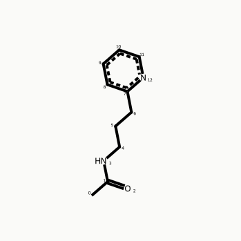 CC(=O)NCCCc1ccccn1